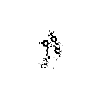 COc1ccc(NC(=O)c2ccc(C(F)(F)F)cc2Nc2ccc(F)cc2CCCCNC(=O)OC(C)(C)C)c(Br)n1